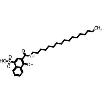 CCCCCCCCCCCCCCCCCNC(=O)c1cc(S(=O)(=O)O)c2ccccc2c1O